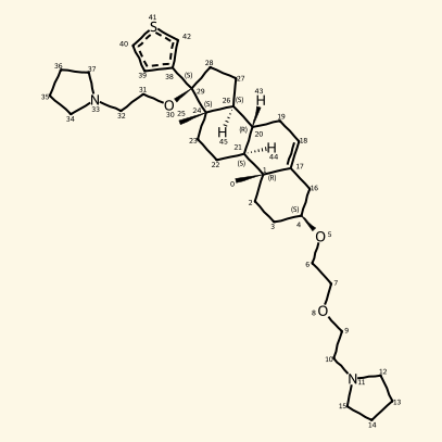 C[C@]12CC[C@H](OCCOCCN3CCCC3)CC1=CC[C@@H]1[C@@H]2CC[C@@]2(C)[C@H]1CC[C@@]2(OCCN1CCCC1)c1ccsc1